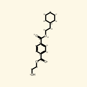 O=C(OCCO)c1ccc(C(=O)OCCC2CCCCC2)cc1